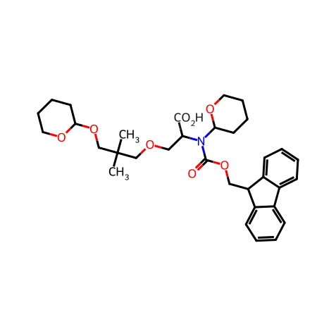 CC(C)(COCC(C(=O)O)N(C(=O)OCC1c2ccccc2-c2ccccc21)C1CCCCO1)COC1CCCCO1